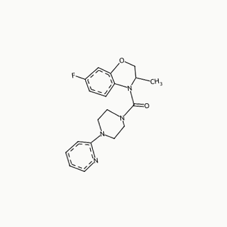 CC1COc2cc(F)ccc2N1C(=O)N1CCN(c2ccccn2)CC1